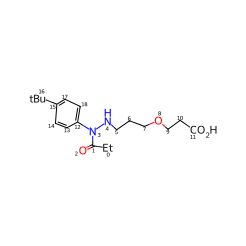 CCC(=O)N(NCCCOCCC(=O)O)c1ccc(C(C)(C)C)cc1